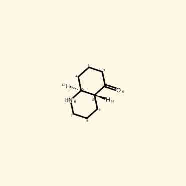 O=C1CCC[C@@H]2NCCC[C@@H]12